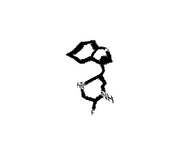 FC1CNC(c2csc3ccccc23)CN1